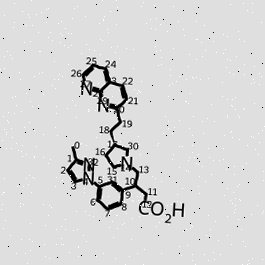 Cc1ccn(-c2cccc(C(CC(=O)O)CN3CC[C@@H](CCc4ccc5cccnc5n4)C3)c2)n1